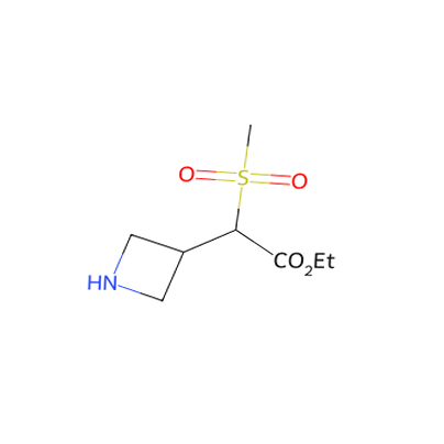 CCOC(=O)C(C1CNC1)S(C)(=O)=O